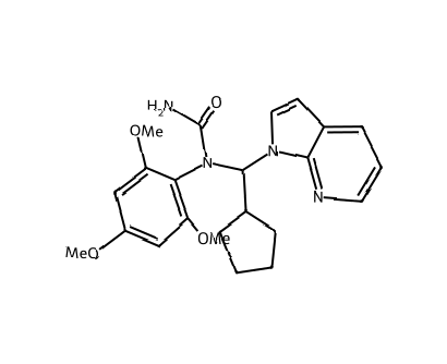 COc1cc(OC)c(N(C(N)=O)C(C2CCCC2)n2ccc3cccnc32)c(OC)c1